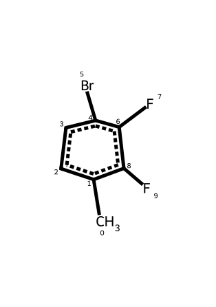 Cc1ccc(Br)c(F)c1F